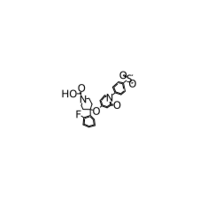 CS(=O)(=O)c1ccc(-n2ccc(OC3(c4ccccc4F)CCN(C(=O)O)CC3)cc2=O)cc1